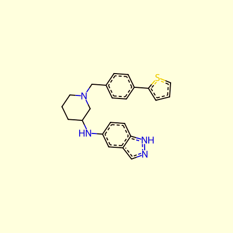 c1csc(-c2ccc(CN3CCCC(Nc4ccc5[nH]ncc5c4)C3)cc2)c1